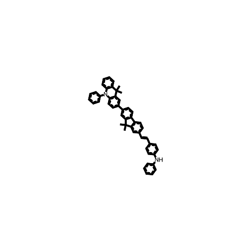 CC1(C)c2cc(/C=C/c3ccc(Nc4ccccc4)cc3)ccc2-c2ccc(-c3ccc4c(c3)C(C)(C)c3ccccc3N4c3ccccc3)cc21